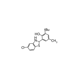 Cc1cc(C2Nc3cc(Cl)ccc3S2)c(O)c(C(C)(C)C)c1